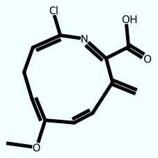 C=C1/C=C\C(OC)=C/C/C=C(Cl)\N=C/1C(=O)O